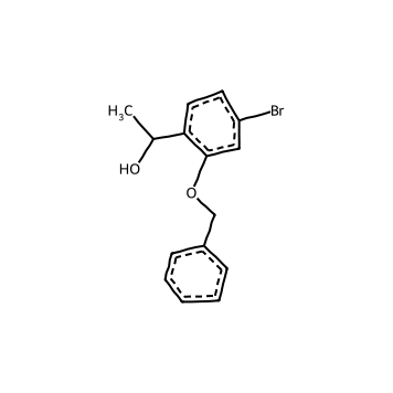 CC(O)c1ccc(Br)cc1OCc1ccccc1